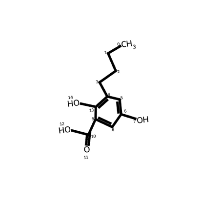 CCCCc1cc(O)cc(C(=O)O)c1O